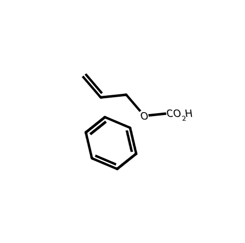 C=CCOC(=O)O.c1ccccc1